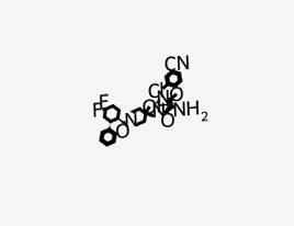 N#Cc1ccc(Oc2ncn(CC3(O)CCN(C(=O)[C@@H]4CCC(F)(F)C[C@H]4c4ccccc4)CC3)c(=O)c2N)c(Cl)c1